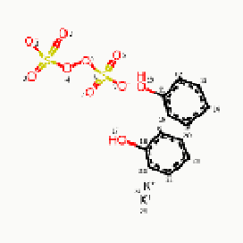 O=S(=O)([O-])OOS(=O)(=O)[O-].Oc1ccccc1.Oc1ccccc1.[K+].[K+]